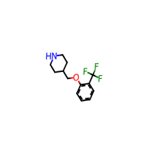 FC(F)(F)c1ccccc1OCC1CCNCC1